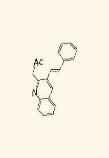 CC(=O)Cc1nc2ccccc2cc1C=Cc1ccccc1